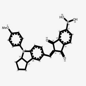 COc1ccc(N2c3ccc(/C=C4/C(=O)c5ccc(B(O)O)cc5C4=O)cc3C3CCCC32)cc1